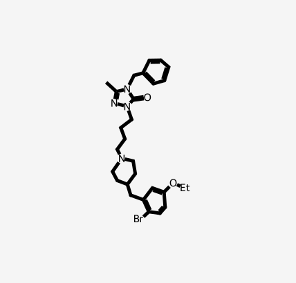 CCOc1ccc(Br)c(CC2CCN(CCCCn3nc(C)n(Cc4ccccc4)c3=O)CC2)c1